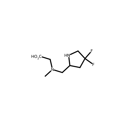 CN(CC(=O)O)CC1CC(F)(F)CN1